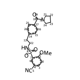 COc1ccc(C#N)cc1S(=O)(=O)NCCc1ccc(C(=O)N2CCCC2)cc1